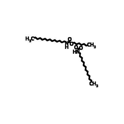 CCCCCCCCCCCCCCNC(=O)OCC(CCCCC)OC(=O)NCCCCCCCCCCCCCC